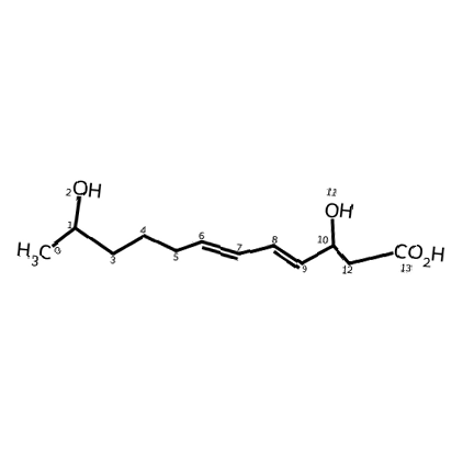 CC(O)CCC/C=C/C=C/C(O)CC(=O)O